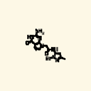 CCn1nc(C)cc1NC(=O)Cn1cnc2c(=O)[nH]c(N)nc21